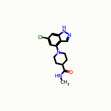 CNC(=O)C1CCN(c2cc(Cl)cc3[nH]ncc23)CC1